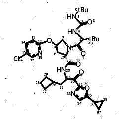 CC(C)(C)NC(=O)N[C@H](C(=O)N1C[C@H](Oc2ccc(Cl)cn2)C[C@H]1C(=O)NC(CC1CCC1)C(=O)c1ncc(C2CC2)o1)C(C)(C)C